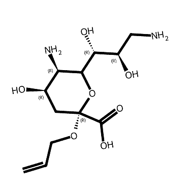 C=CCO[C@]1(C(=O)O)C[C@@H](O)[C@@H](N)C([C@H](O)[C@H](O)CN)O1